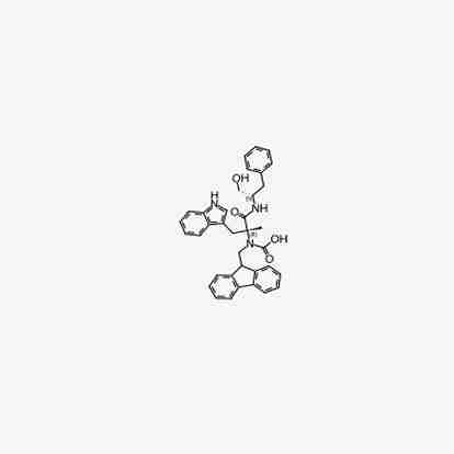 C[C@@](Cc1c[nH]c2ccccc12)(C(=O)N[C@H](CO)Cc1ccccc1)N(CC1c2ccccc2-c2ccccc21)C(=O)O